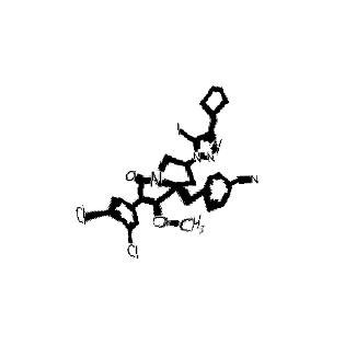 COC1=C(c2cc(Cl)cc(Cl)c2)C(=O)N2CC(n3nnc(C4CCCC4)c3I)CC12Cc1ccc(C#N)cc1